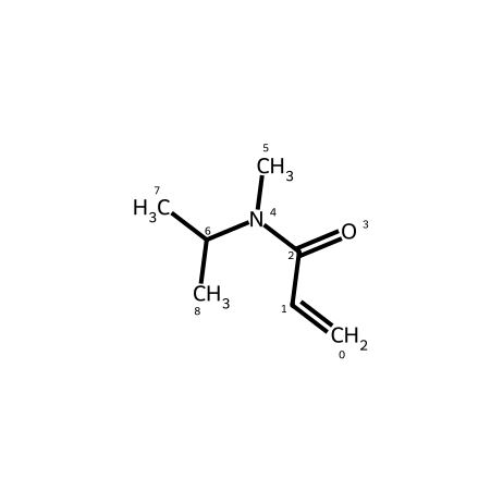 C=CC(=O)N(C)C(C)C